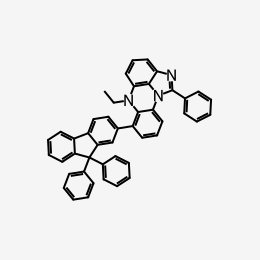 CCN1c2c(-c3ccc4c(c3)C(c3ccccc3)(c3ccccc3)c3ccccc3-4)cccc2-n2c(-c3ccccc3)nc3cccc1c32